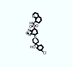 O=S(=O)(Nc1cccc2cccnc12)c1ccc(N2CCC(O)(c3ccc(Cl)cc3)CC2)c2nonc12